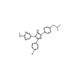 COc1ncc(-c2[nH]c(-c3ccc(CC(C)C)cc3)nc2-c2ccc(F)cc2)cn1